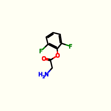 NCC(=O)Oc1c(F)cccc1F